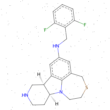 Fc1cccc(F)c1CNc1cc2c3c(c1)[C@@H]1CNCC[C@@H]1N3CCSC2